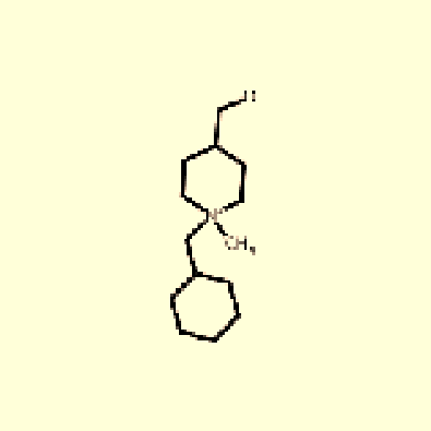 C[N+]1(CC2CCCCC2)CCC(C[O])CC1